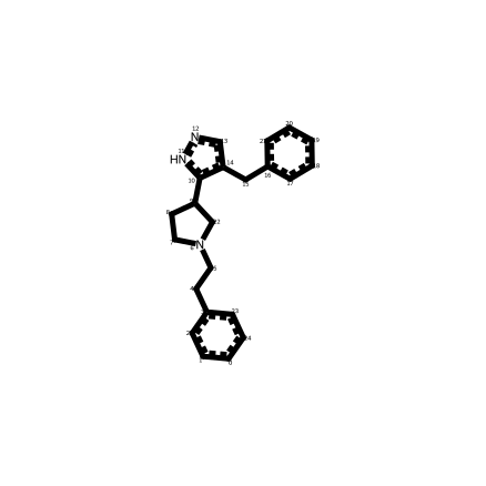 c1ccc(CCN2CCC(c3[nH]ncc3Cc3ccccc3)C2)cc1